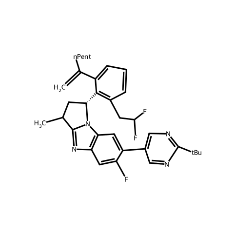 C=C(CCCCC)c1cccc(CC(F)F)c1[C@H]1CC(C)c2nc3cc(F)c(-c4cnc(C(C)(C)C)nc4)cc3n21